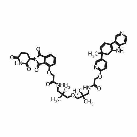 CC(C)(CNC(=O)COc1ccc(C2(C)C=Cc3c([nH]c4ccncc34)C2)cn1)COCC(C)(C)CNC(=O)COc1cccc2c1C(=O)N(C1CCC(=O)NC1=O)C2=O